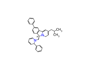 CC(C)CC1=CCN2C(=C1)c1cc(-c3ccccc3)ccc1[C@@H]2CN1C=CC=CC1c1ccccc1